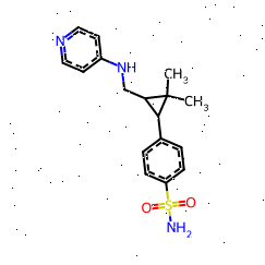 CC1(C)C(CNc2ccncc2)C1c1ccc(S(N)(=O)=O)cc1